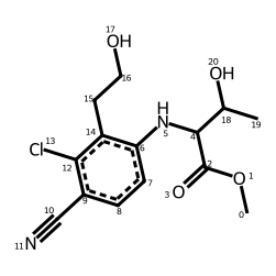 COC(=O)C(Nc1ccc(C#N)c(Cl)c1CCO)C(C)O